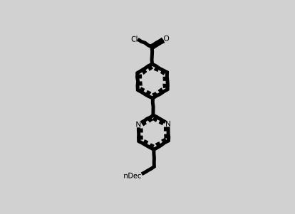 CCCCCCCCCCCc1cnc(-c2ccc(C(=O)Cl)cc2)nc1